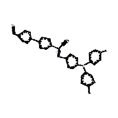 Cc1ccc(N(c2ccc(C)cc2)c2ccc(/C=C(\C#N)c3ccc(-c4ccc(C=O)cc4)cc3)cc2)cc1